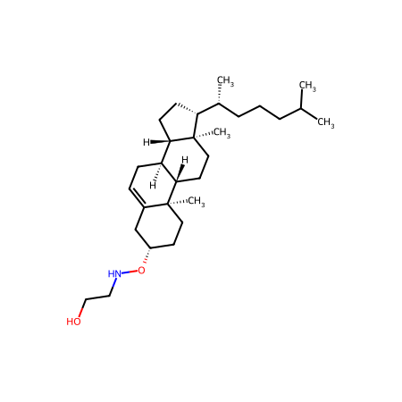 CC(C)CCC[C@@H](C)[C@H]1CC[C@H]2[C@@H]3CC=C4C[C@@H](ONCCO)CC[C@]4(C)[C@H]3CC[C@]12C